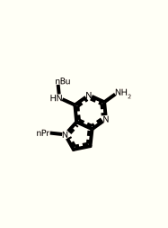 CCCCNc1nc(N)nc2ccn(CCC)c12